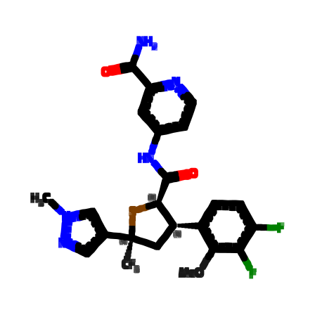 COc1c([C@@H]2C[C@](c3cnn(C)c3)(C(F)(F)F)S[C@H]2C(=O)Nc2ccnc(C(N)=O)c2)ccc(F)c1F